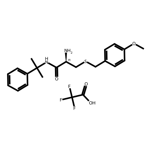 COc1ccc(CSC[C@H](N)C(=O)NC(C)(C)c2ccccc2)cc1.O=C(O)C(F)(F)F